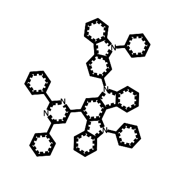 c1ccc(-c2cc(-c3cc4c(c5ccccc5n4-c4ccc5c6ccccc6n(-c6ccccc6)c5c4)c4c3c3ccccc3n4-c3ccccc3)nc(-c3ccccc3)n2)cc1